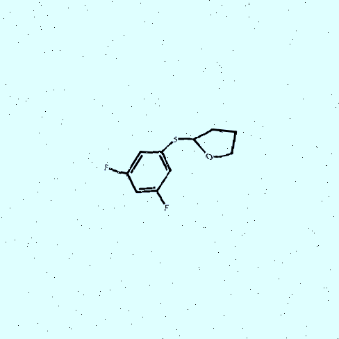 Fc1cc(F)cc(SC2CCCO2)c1